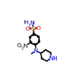 CN(c1ccc(S(N)(=O)=O)cc1[N+](=O)[O-])C1CCNCC1